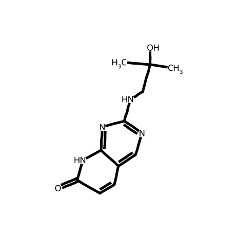 CC(C)(O)CNc1ncc2ccc(=O)[nH]c2n1